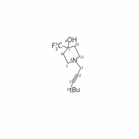 CC(C)(C)C#CCN1CCC(O)(C(F)(F)F)CC1